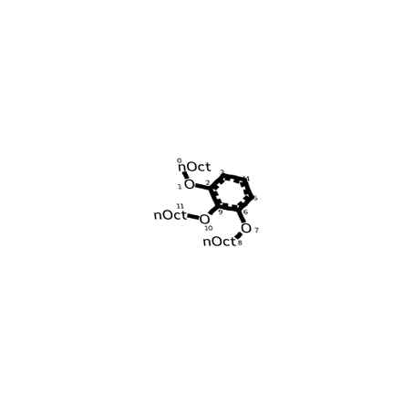 CCCCCCCCOc1c[c]cc(OCCCCCCCC)c1OCCCCCCCC